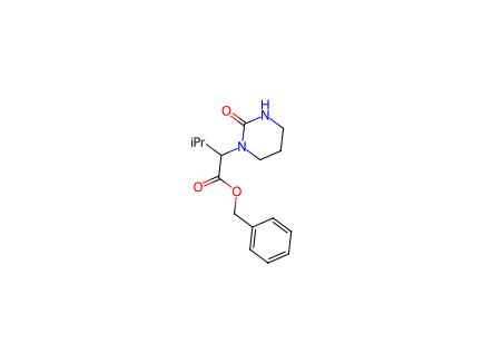 CC(C)C(C(=O)OCc1ccccc1)N1CCCNC1=O